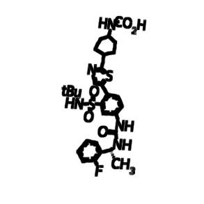 C[C@@H](NC(=O)Nc1ccc(-c2cnc(C3CCC(NC(=O)O)CC3)s2)c(S(=O)(=O)NC(C)(C)C)c1)c1ccccc1F